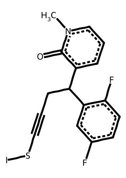 Cn1cccc(C(CC#CSI)c2cc(F)ccc2F)c1=O